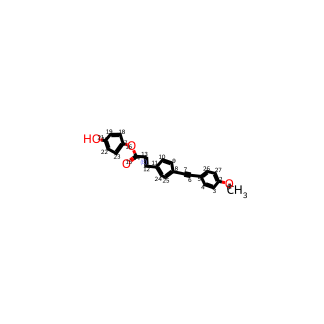 COc1ccc(C#Cc2ccc(/C=C/C(=O)Oc3ccc(O)cc3)cc2)cc1